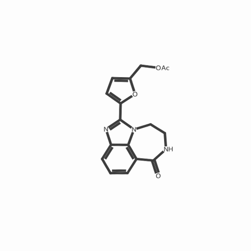 CC(=O)OCc1ccc(-c2nc3cccc4c3n2CCNC4=O)o1